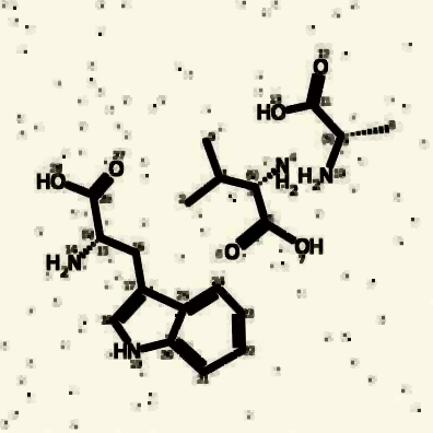 CC(C)[C@H](N)C(=O)O.C[C@H](N)C(=O)O.N[C@@H](Cc1c[nH]c2ccccc12)C(=O)O